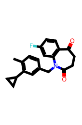 Cc1ccc(CN2C(=O)CCC(=O)c3ccc(F)cc32)cc1C1CC1